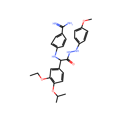 CCOc1cc(C(Nc2ccc(C(=N)N)cc2)C(=O)NNc2ccc(OC)cc2)ccc1OC(C)C